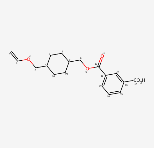 C=COCC1CCC(COC(=O)c2cccc(C(=O)O)c2)CC1